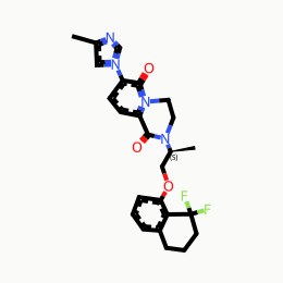 Cc1cn(-c2ccc3n(c2=O)CCN([C@@H](C)COc2cccc4c2C(F)(F)CCC4)C3=O)cn1